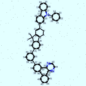 CC1(C)C2=C(CCC(c3ccc4c5ccccc5n(-c5ccccc5)c4c3)=C2)c2ccc(-c3cccc(-c4ccc5c6ccccc6c6nccnc6c5c4)c3)cc21